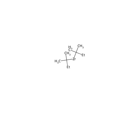 CC[C](C)(C)[Zr][C](C)(C)CC